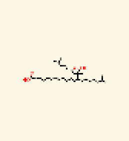 CC(C)CCCCCC(CCCCCCCCCCCC(=O)O)C(C)(CCCCCC(C)C)C(=O)O